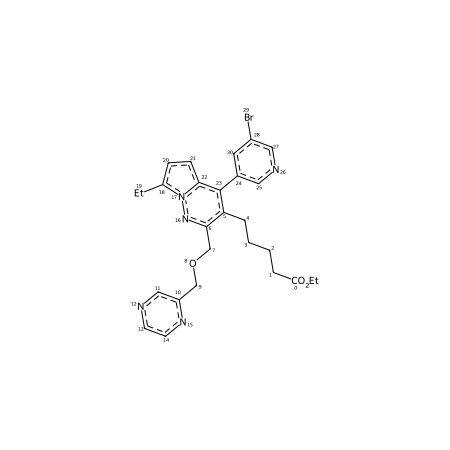 CCOC(=O)CCCCc1c(COCc2cnccn2)nn2c(CC)ccc2c1-c1cncc(Br)c1